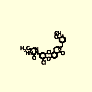 C=C1C=NN(c2cc(Cl)c(Oc3ccc4c(c3)CCN(Cc3cccc(OC)c3)C4=O)c(Cl)c2)C(=O)N1